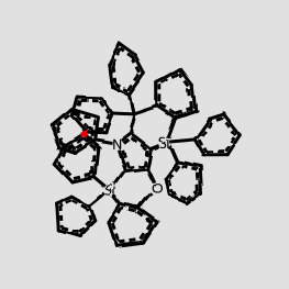 c1ccc(-n2c3c(c4c2[Si](c2ccccc2)(c2ccccc2)c2ccccc2O4)[Si](c2ccccc2)(c2ccccc2)c2ccccc2C3(c2ccccc2)c2ccccc2)cc1